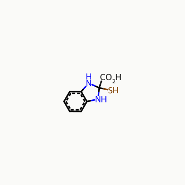 O=C(O)C1(S)Nc2ccccc2N1